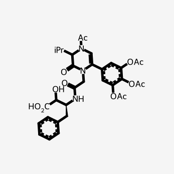 CC(=O)Oc1cc(C2=CN(C(C)=O)C(C(C)C)C(=O)N2CC(=O)N[C@@H](Cc2ccccc2)C(O)C(=O)O)cc(OC(C)=O)c1OC(C)=O